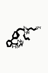 C/C=C/Cn1nc(CCC(C)C)nc1Cc1ccc(-c2ccccc2-c2nnn[nH]2)cc1